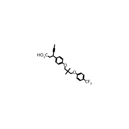 CC#CC(CC(=O)O)c1ccc(OCC(C)(C)COc2ccc(C(F)(F)F)cc2)cc1